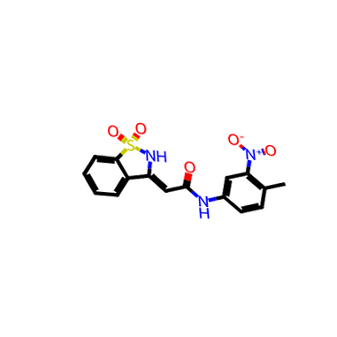 Cc1ccc(NC(=O)C=C2NS(=O)(=O)c3ccccc32)cc1[N+](=O)[O-]